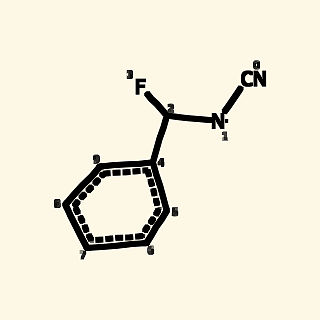 N#C[N]C(F)c1ccccc1